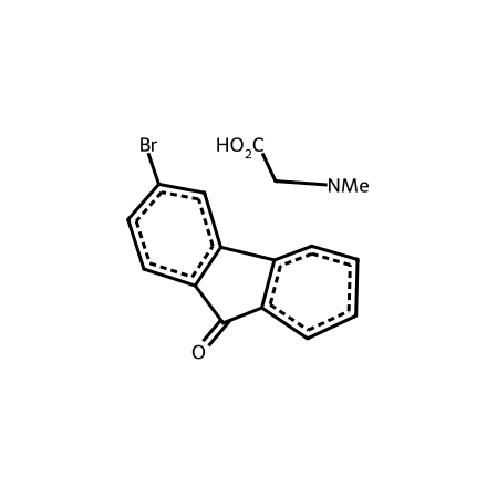 CNCC(=O)O.O=C1c2ccccc2-c2cc(Br)ccc21